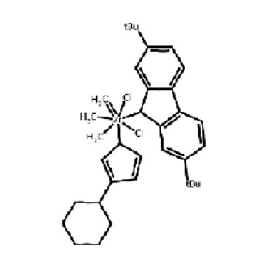 [CH2]=[Zr]([CH3])([CH3])([Cl])([Cl])([CH]1C=CC(C2CCCCC2)=C1)[CH]1c2cc(C(C)(C)C)ccc2-c2ccc(C(C)(C)C)cc21